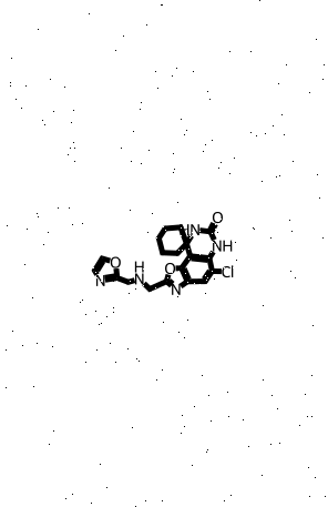 O=C1Nc2c(Cl)cc3nc(CNCc4ncco4)oc3c2C2(CCCCC2)N1